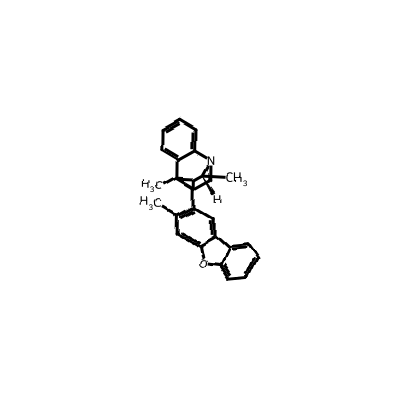 Cc1cc2oc3ccccc3c2cc1C1[C@@H](C)N2CCC1(C)c1ccccc12